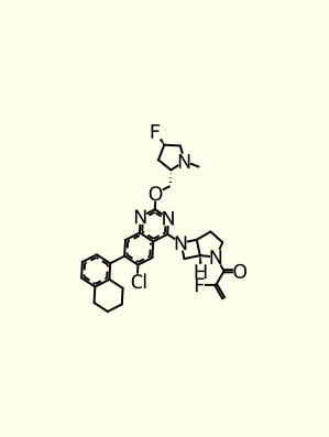 C=C(F)C(=O)N1CCC2[C@H]1CN2c1nc(OC[C@@H]2C[C@@H](F)CN2C)nc2cc(-c3cccc4c3CCCC4)c(Cl)cc12